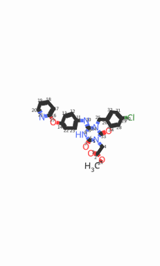 COC(=O)Cn1c(=O)[nH]/c(=N\c2ccc(Oc3ccccn3)cc2)n(Cc2ccc(Cl)cc2)c1=O